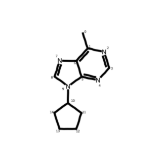 Cc1ncnc2c1ncn2C1CCCC1